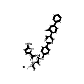 Cc1cc(-c2ccccc2)ccc1-c1cnc(-c2ccc(C[C@H](NC(=O)c3ccc(C(C)(C)C)s3)C(=O)N[C@H](C)C(=O)O)cc2)nc1